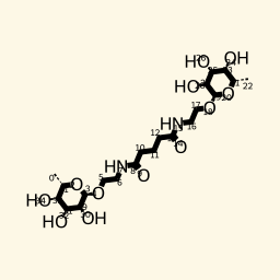 C[C@@H]1O[C@@H](OCCNC(=O)CCCC(=O)NCCO[C@@H]2O[C@@H](C)[C@@H](O)[C@@H](O)[C@@H]2O)[C@@H](O)[C@H](O)[C@@H]1O